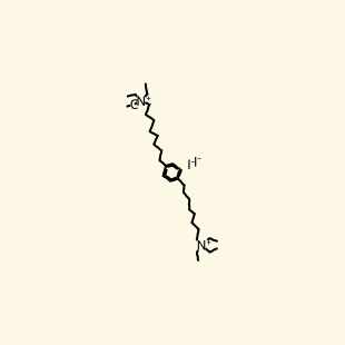 CC[N+](CC)(CC)CCCCCCCCc1ccc(CCCCCCCC[N+](CC)(CC)CC)cc1.[I-].[I-]